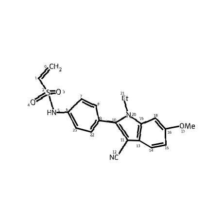 C=CS(=O)(=O)Nc1ccc(-c2c(C#N)c3ccc(OC)cc3n2CC)cc1